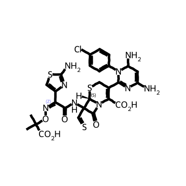 CC(C)(O/N=C(\C(=O)NC1(C=S)C(=O)N2C(C(=O)O)=C(C3=NC(N)=CC(N)N3c3ccc(Cl)cc3)CS[C@H]21)c1csc(N)n1)C(=O)O